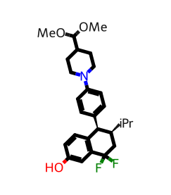 COC(OC)C1CCN(c2ccc([C@@H]3c4ccc(O)cc4C(F)(F)C[C@@H]3C(C)C)cc2)CC1